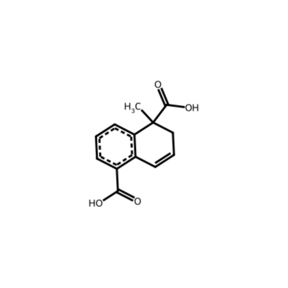 CC1(C(=O)O)CC=Cc2c(C(=O)O)cccc21